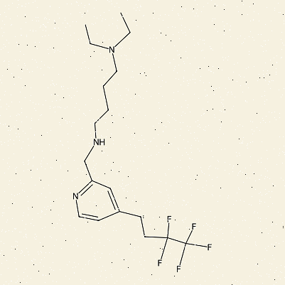 CCN(CC)CCCCNCc1cc([C]CC(F)(F)C(F)(F)F)ccn1